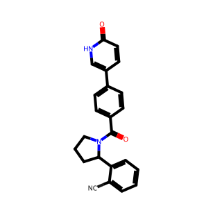 N#Cc1ccccc1C1CCCN1C(=O)c1ccc(-c2ccc(=O)[nH]c2)cc1